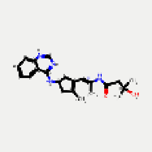 CC1=C(/C=C(\C)NC(=O)CC(C)(C)O)CC(Nc2ncnc3ccccc23)C1